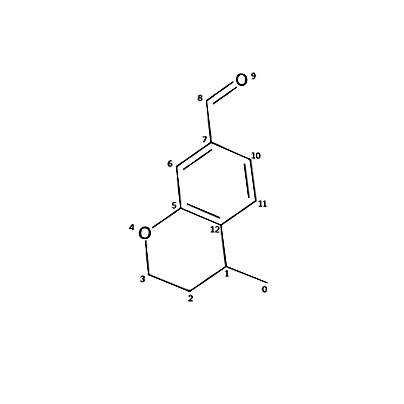 CC1CCOc2cc(C=O)ccc21